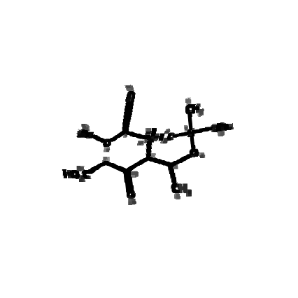 CC(O[Si](C)(C)C(C)(C)C)C(NC(=O)OC(C)(C)C)C(=O)CC(=O)O